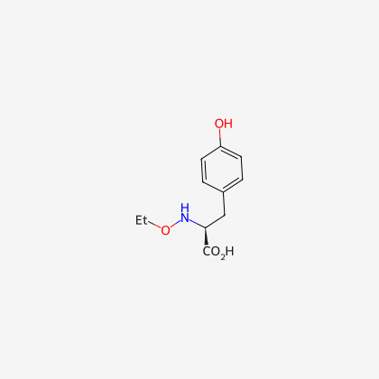 CCON[C@@H](Cc1ccc(O)cc1)C(=O)O